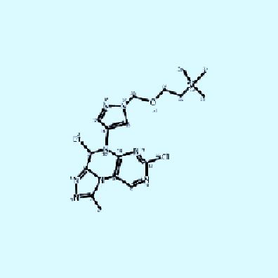 CCC1c2nnc(C)n2-c2cnc(Cl)nc2N1c1cnn(COCC[Si](C)(C)C)c1